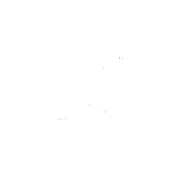 CCC(C)S(=O)(=O)N(N)CCC(=O)OC